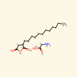 CCCCCCCCCCCCC1CC(=O)OC1=O.NCC(=O)O